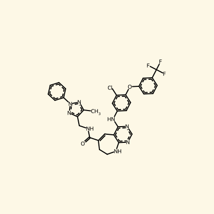 Cc1nn(-c2ccccc2)nc1CNC(=O)C1=Cc2c(ncnc2Nc2ccc(Oc3cccc(C(F)(F)F)c3)c(Cl)c2)NCC1